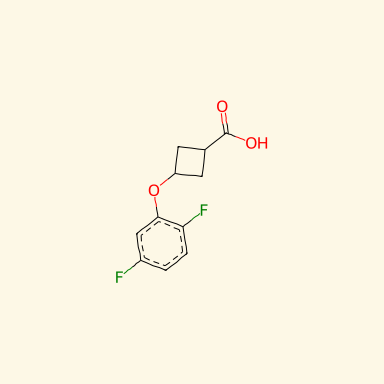 O=C(O)C1CC(Oc2cc(F)ccc2F)C1